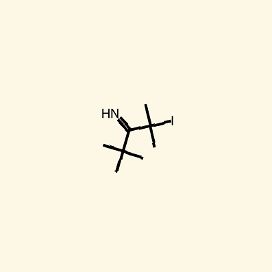 CC(C)(C)C(=N)C(C)(C)I